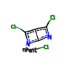 CCCCCCl.Clc1nc2nc(Cl)c1-2